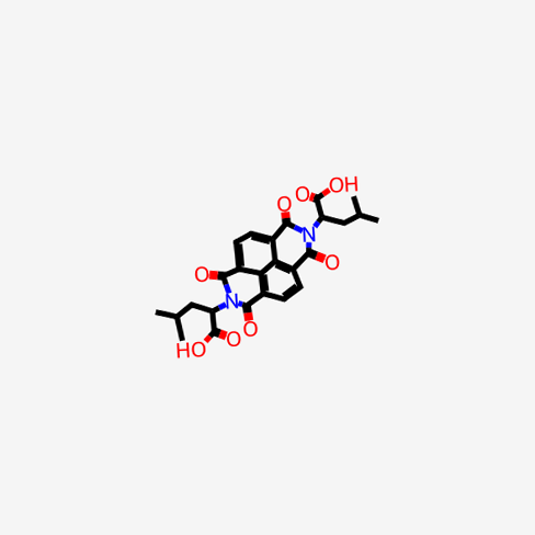 CC(C)CC(C(=O)O)N1C(=O)c2ccc3c4c(ccc(c24)C1=O)C(=O)N(C(CC(C)C)C(=O)O)C3=O